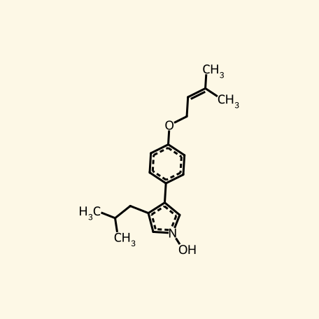 CC(C)=CCOc1ccc(-c2cn(O)cc2CC(C)C)cc1